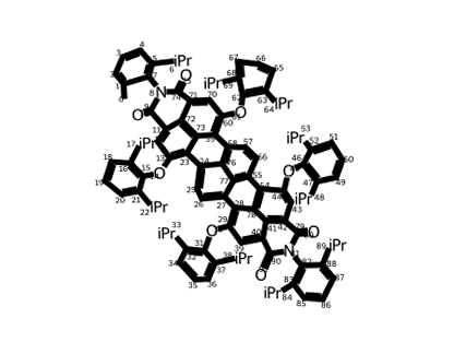 Cc1cccc(C(C)C)c1N1C(=O)c2cc(Oc3c(C(C)C)cccc3C(C)C)c3c4ccc5c6c(Oc7c(C(C)C)cccc7C(C)C)cc7c8c(cc(Oc9c(C(C)C)cccc9C(C)C)c(c9ccc(c%10c(Oc%11c(C(C)C)cccc%11C(C)C)cc(c2c3%10)C1=O)c4c59)c86)C(=O)N(c1c(C(C)C)cccc1C(C)C)C7=O